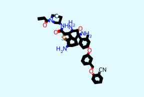 C=CC(=O)N1CCCC(NC(=O)c2sc3c(N)ccc4c3c2C(N)C(=O)C4(N)c2ccc(Oc3cccc(COc4ccccc4C#N)c3)cc2C)C1